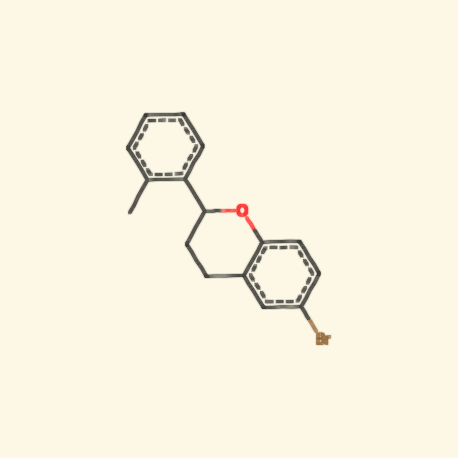 Cc1ccccc1C1CCc2cc(Br)ccc2O1